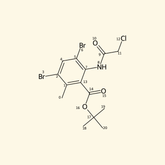 Cc1c(Br)cc(Br)c(NC(=O)CCl)c1C(=O)OC(C)(C)C